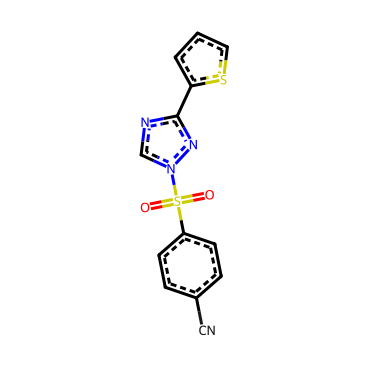 N#Cc1ccc(S(=O)(=O)n2cnc(-c3cccs3)n2)cc1